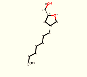 CCCCCCCCCCCCCC[C@H]1CO[C@@H](CO)C1